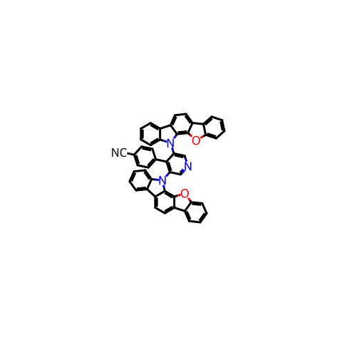 N#Cc1ccc(-c2c(-n3c4ccccc4c4ccc5c6ccccc6oc5c43)cncc2-n2c3ccccc3c3ccc4c5ccccc5oc4c32)cc1